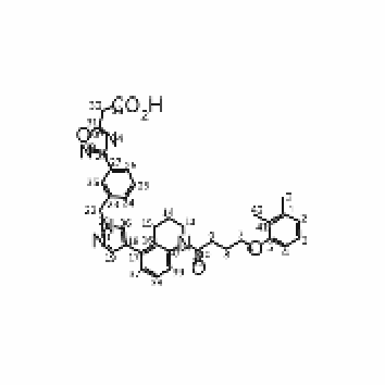 Cc1cccc(OCCCC(=O)N2CCCc3c(-c4cnn(Cc5cccc(-c6noc(CC(=O)O)n6)c5)c4)cccc32)c1C